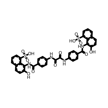 O=C(Nc1ccc(C(=O)Nc2c(O)ccc3cccc(S(=O)(=O)O)c23)cc1)C(=O)Nc1ccc(C(=O)Nc2c(O)ccc3cccc(S(=O)(=O)O)c23)cc1